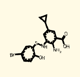 Nc1c(NSc2cc(Br)ccc2O)cc(C2CC2)cc1C(=O)O